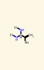 C=C(C(C)CC)[SiH](NCC)NCC